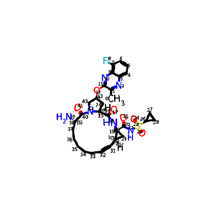 Cc1nc2cccc(F)c2nc1O[C@@H]1C[C@H]2C(=O)N[C@]3(C(=O)NS(=O)(=O)C4CC4)C[C@H]3C=CCCCCC[C@H](N)C(=O)N2C1